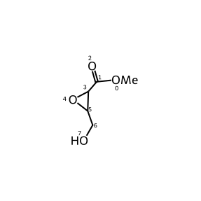 COC(=O)C1OC1CO